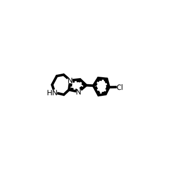 Clc1ccc(-c2cn3c(n2)CNCCC3)cc1